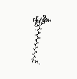 CCCCCCCCCCCCCCCC(=O)OC(CS(=O)(=O)O)C(F)(F)F